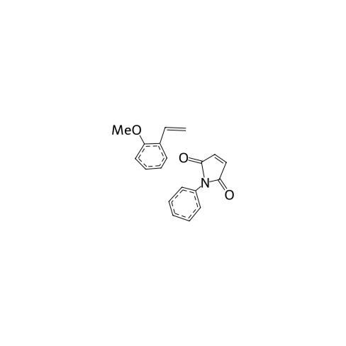 C=Cc1ccccc1OC.O=C1C=CC(=O)N1c1ccccc1